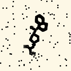 CC(O)CN1CCN([S+]([O-])c2cccc3ccccc23)CC1